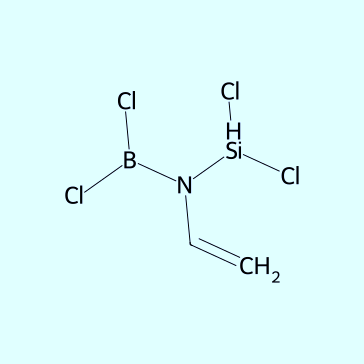 C=CN(B(Cl)Cl)[SiH](Cl)Cl